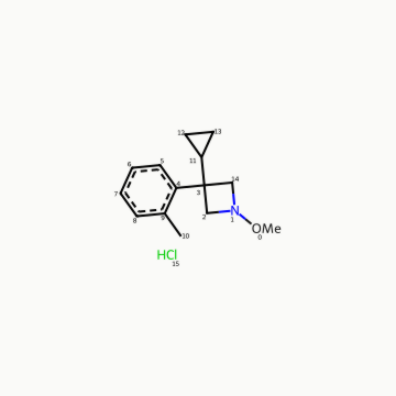 CON1CC(c2ccccc2C)(C2CC2)C1.Cl